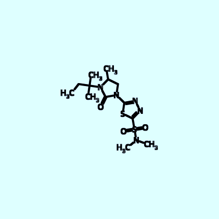 CCC(C)(C)N1C(=O)N(c2nnc(S(=O)(=O)N(C)C)s2)CC1C